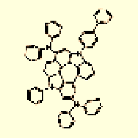 C1=CC(N(c2ccccc2)c2cc3c4c5c2=CCC2C=5c5c(cc(N(c6ccccc6)c6ccccc6)cc5N2c2ccccc2)-c2cccc(c24)n3-c2ccc(-c3ccccc3)cc2)=CCC1